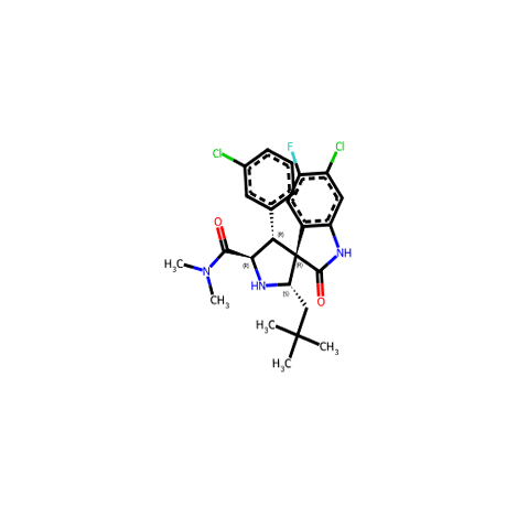 CN(C)C(=O)[C@@H]1N[C@@H](CC(C)(C)C)[C@@]2(C(=O)Nc3cc(Cl)c(F)cc32)[C@H]1c1cccc(Cl)c1